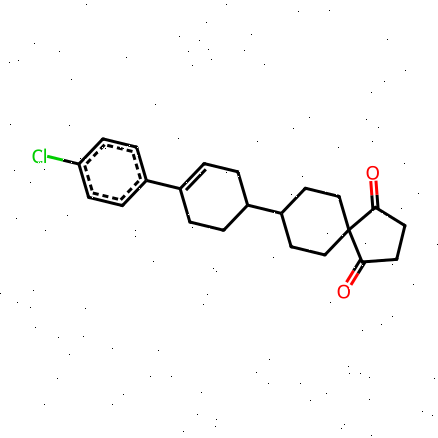 O=C1CCC(=O)C12CCC(C1CC=C(c3ccc(Cl)cc3)CC1)CC2